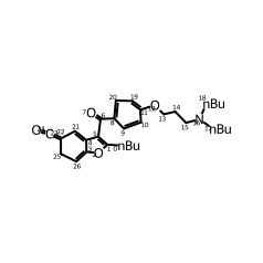 CCCCc1oc2c(c1C(=O)c1ccc(OCCCN(CCCC)CCCC)cc1)=CC(=C=O)CC=2